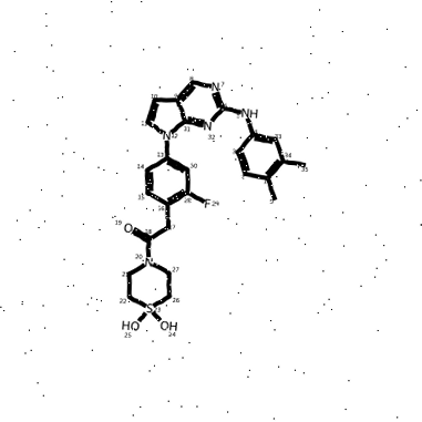 Cc1ccc(Nc2ncc3ccn(-c4ccc(CC(=O)N5CCS(O)(O)CC5)c(F)c4)c3n2)cc1C